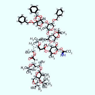 CC[C@H](C)[C@H](C[C@@H](CC(=O)O[C@H]1C(C)O[C@H](OC(=N)C(Cl)(Cl)Cl)C(O[C@@H]2OC(C)[C@H](O[C@@H]3OC[C@@H](OCc4ccccc4)C(O[C@@H]4OCC5(COCc6ccccc6)O[C@@H](c6ccccc6)O[C@H]45)C3C)C3OC(C)(C)OC32)C1C)O[Si](C)(C)C(C)(C)C)OC(=O)C[C@H](C[C@H](O[C@@H]1O[C@H](CO[Si](C)(C)C(C)(C)C)C(O[Si](C)(C)C(C)(C)C)C1C)[C@@H](C)CC)O[Si](C)(C)C(C)(C)C